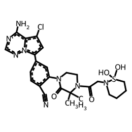 CC1(C)C(=O)N(c2cc(-c3cc(Cl)c4c(N)ncnn34)ccc2C#N)CCN1C(=O)CN1CCCCS1(O)O